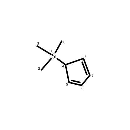 C[Si](C)(C)C1[C]=CC=C1